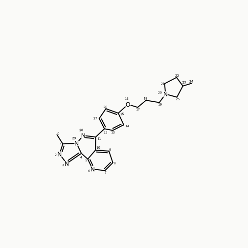 Cc1nnc2c3ncccc3c(-c3ccc(OCCCN4CCC(C)C4)cc3)nn12